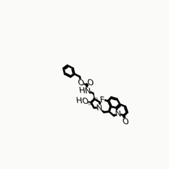 O=C(NC[C@H]1CN(CC2Cn3c(=O)ccc4ccc(F)c2c43)C[C@H]1O)OCc1ccccc1